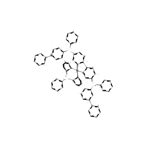 c1ccc(-c2ccc(N(c3ccccc3)c3ccc4c(c3)C3(c5cc(N(c6ccccc6)c6cccc(-c7ccccc7)c6)ccc5-4)c4ccccc4N(c4ccccc4)c4ccccc43)cc2)cc1